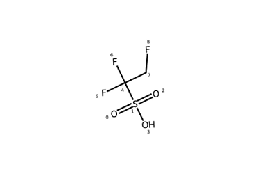 O=S(=O)(O)C(F)(F)CF